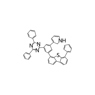 C1=CNCC(c2cc(-c3nc(-c4ccccc4)nc(-c4ccccc4)n3)cc(-c3cccc4c3sc3c(-c5ccccc5)cccc34)c2)=C1